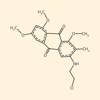 COc1cc(OC)c2c(c1)C(=O)c1cc(NCCCl)c(C)c(OC)c1C2=O